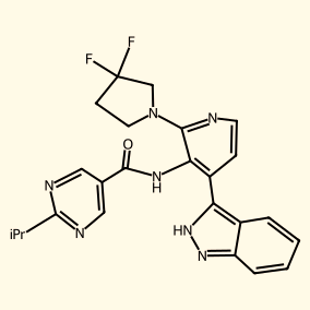 CC(C)c1ncc(C(=O)Nc2c(-c3[nH]nc4ccccc34)ccnc2N2CCC(F)(F)C2)cn1